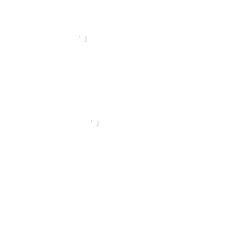 O=C(C=CC=Cc1ccccc1)NCC1CCC(C(=O)NO)CC1